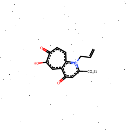 C=CCn1c(C(=O)OCC)cc(=O)c2cc(O)c(=O)ccc21